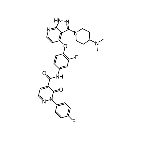 CN(C)C1CCN(c2n[nH]c3nccc(Oc4ccc(NC(=O)c5ccnn(-c6ccc(F)cc6)c5=O)cc4F)c23)CC1